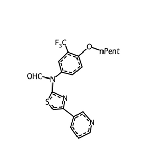 CCCCCOc1ccc(N(C=O)c2nc(-c3cccnc3)cs2)cc1C(F)(F)F